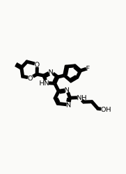 C=C1COC(c2nc(-c3ccc(F)cc3)c(-c3ccnc(NCCCO)n3)[nH]2)OC1